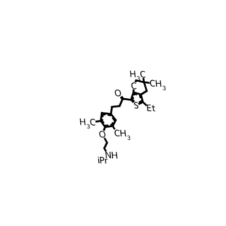 CCc1sc(C(=O)CCc2cc(C)c(OCCNC(C)C)c(C)c2)c2c1CC(C)(C)CC2